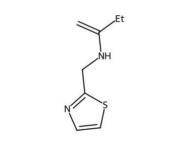 C=C(CC)NCc1nccs1